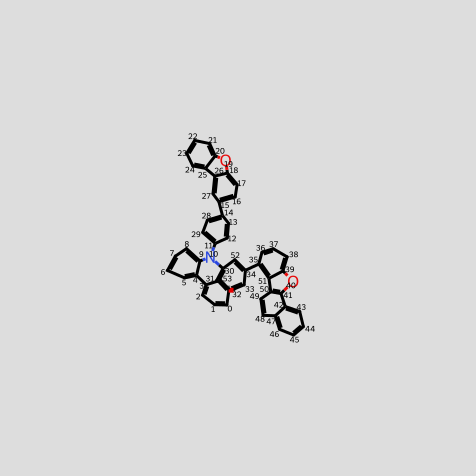 c1ccc(-c2ccccc2N(c2ccc(-c3ccc4oc5ccccc5c4c3)cc2)c2cccc(-c3cccc4oc5c6ccccc6ccc5c34)c2)cc1